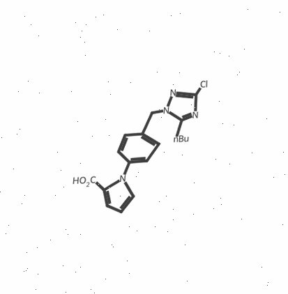 CCCCc1nc(Cl)nn1Cc1ccc(-n2cccc2C(=O)O)cc1